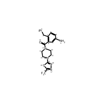 CC(C)Cc1ccc(N)cc1C(=O)N1CCN(c2nnc(C(F)(F)F)s2)CC1